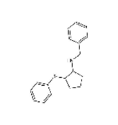 c1ccc(CNC2CCCC2Sc2ccccc2)cc1